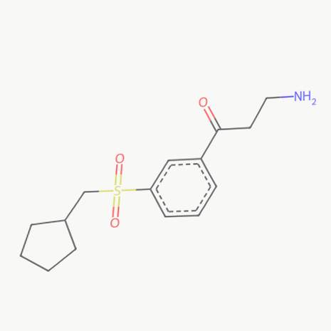 NCCC(=O)c1cccc(S(=O)(=O)CC2CCCC2)c1